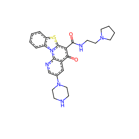 O=C(NCCN1CCCC1)c1c(=O)c2cc(N3CCNCC3)cnc2n2c1sc1ccccc12